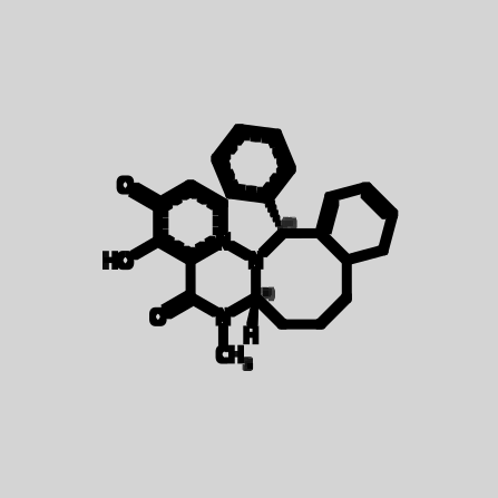 CN1C(=O)c2c(O)c(=O)ccn2N2[C@@H]1CCCC1CC=CC=C1[C@H]2c1ccccc1